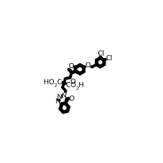 O=C(CC(CCn1nnc2ccccc2c1=O)(C(=O)O)C(=O)O)c1coc2cc(OCc3ccc(Cl)c(Cl)c3)ccc12